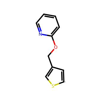 [c]1cc(COc2ccccn2)cs1